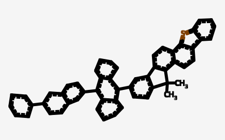 CC1(C)c2ccc(-c3c4ccccc4c(-c4ccc5cc(-c6ccccc6)ccc5c4)c4ccccc34)cc2-c2ccc3c(ccc4c5ccccc5sc34)c21